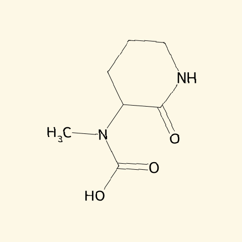 CN(C(=O)O)C1CCCNC1=O